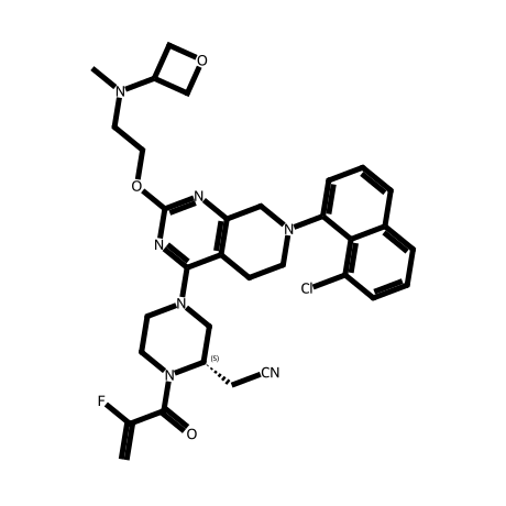 C=C(F)C(=O)N1CCN(c2nc(OCCN(C)C3COC3)nc3c2CCN(c2cccc4cccc(Cl)c24)C3)C[C@@H]1CC#N